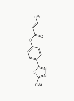 CCCC=CC(=O)Oc1ccc(-c2nnc(CCCC)s2)cc1